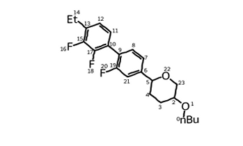 CCCCOC1CCC(c2ccc(-c3ccc(CC)c(F)c3F)c(F)c2)OC1